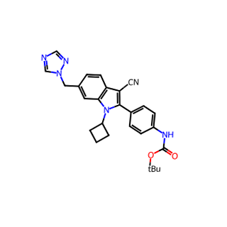 CC(C)(C)OC(=O)Nc1ccc(-c2c(C#N)c3ccc(Cn4cncn4)cc3n2C2CCC2)cc1